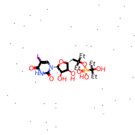 CCC(CC)(C[C@H]1O[C@@H](n2cc(I)c(=O)[nH]c2=O)[C@H](O)[C@@H]1O)OP(=O)(O)C(O)(CC)CC